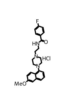 COc1ccc2c(N3CCN(CCNC(=O)c4ccc(F)cc4)CC3)cccc2c1.Cl